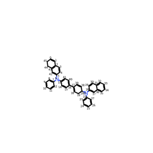 C1=Cc2ccc(N(c3ccccc3)c3ccc(C4=CCC(N(c5ccccc5)c5ccc6ccccc6c5)C=C4)cc3)cc2CC1